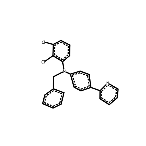 Clc1cccc(N(Cc2ccccc2)c2ccc(-c3ccccn3)cc2)c1Cl